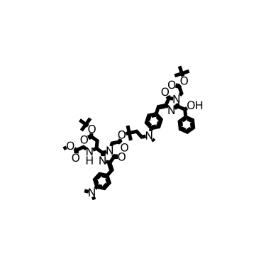 COC(=O)CNC(CC(=O)OC(C)(C)C)C1=N/C(=C\c2ccc(N(C)C)cc2)C(=O)N1CC(=O)OC(C)(C)CCN(C)c1ccc(/C=C2\N=C(C(O)c3ccccc3)N(CC(=O)OC(C)(C)C)C2=O)cc1